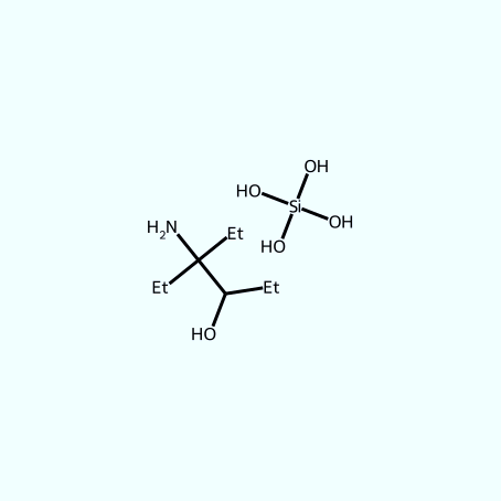 CCC(O)C(N)(CC)CC.O[Si](O)(O)O